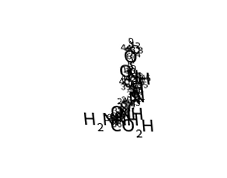 Cc1cccc(OCCCC(=O)N2C[C@@H]3C[C@@H]3c3c(-c4cnn(Cc5cccc(NC(=O)NC(CN)C(=O)O)c5)c4)cccc32)c1C